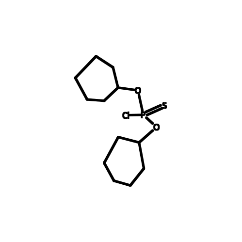 S=P(Cl)(OC1CCCCC1)OC1CCCCC1